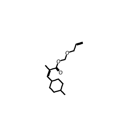 C=CCOCOC(=O)C(C)=CC1CCC(C)CC1